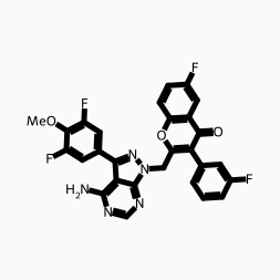 COc1c(F)cc(-c2nn(Cc3oc4ccc(F)cc4c(=O)c3-c3cccc(F)c3)c3ncnc(N)c23)cc1F